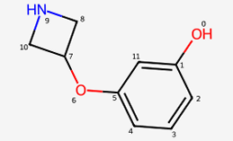 Oc1cccc(OC2CNC2)c1